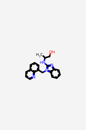 CC(CO)Nc1nc2ccccc2n1Cc1cccc2cccnc12